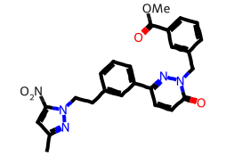 COC(=O)c1cccc(Cn2nc(-c3cccc(CCn4nc(C)cc4[N+](=O)[O-])c3)ccc2=O)c1